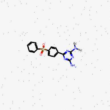 CC(=O)N(C(C)=O)c1nc(N)nc(-c2ccc(S(=O)(=O)c3ccccc3)cc2)n1